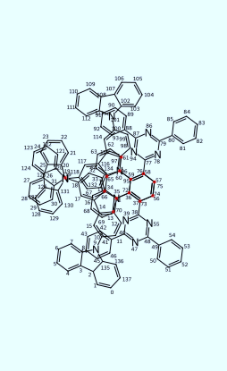 C1=CC2c3ccccc3N(c3ccc4c(c3)c3cc(-n5c6ccccc6c6ccccc65)ccc3n4-c3c(-c4nc(-c5ccccc5)nc(-c5ccccc5)n4)cccc3-c3ccccc3-c3ccccc3-c3cccc(-c4nc(-c5ccccc5)nc(-c5ccccc5)n4)c3-n3c4ccc(-n5c6ccccc6c6ccccc65)cc4c4cc(-n5c6ccccc6c6ccccc65)ccc43)C2C=C1